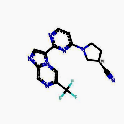 N#C[C@@H]1CCN(c2ccnc(-c3cnc4cnc(C(F)(F)F)cn34)n2)C1